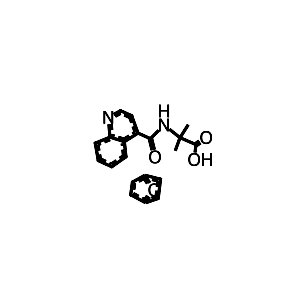 CC(C)(NC(=O)c1ccnc2ccccc12)C(=O)O.c1cc2ccc1o2